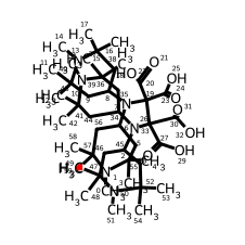 CN1C(C)(C)CC(N(C2CC(C)(C)N(C)C(C)(C)C2)C(C(=O)O)(C(=O)O)C(C(=O)O)(C(=O)O)N(C2CC(C)(C)N(C)C(C)(C)C2)C2CC(C)(C)N(C)C(C)(C)C2)CC1(C)C